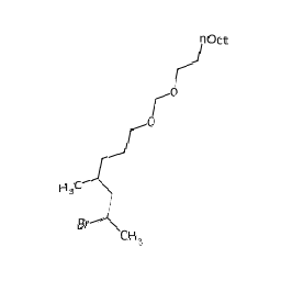 CCCCCCCCCCOCOCCCC(C)CC(C)Br